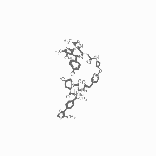 Cc1ncsc1-c1ccc([C@H](C)NC(=O)[C@@H]2C[C@@H](O)CN2C(=O)[C@@H](NC(=O)Cc2ccc(O[C@H]3C[C@@H](NC(=O)C[C@@H]4N=C(c5ccc(Cl)cc5)c5c(sc(C)c5C)-n5c(C)nnc54)C3)nc2)C(C)(C)C)cc1